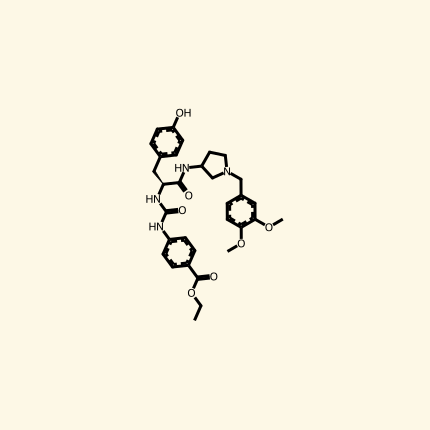 CCOC(=O)c1ccc(NC(=O)N[C@@H](Cc2ccc(O)cc2)C(=O)NC2CCN(Cc3ccc(OC)c(OC)c3)C2)cc1